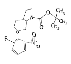 CC(C)(C)OC(=O)N1CCC2CCN(c3c(F)cccc3[N+](=O)[O-])CC21